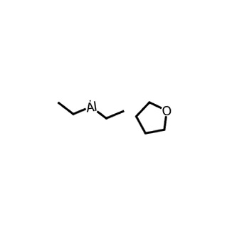 C1CCOC1.C[CH2][Al][CH2]C